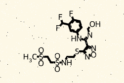 CS(=O)(=O)CCS(=O)(=O)NCCSc1nonc1/C(=N/CO)Nc1ccc(F)c(C(F)F)c1